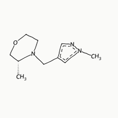 C[C@@H]1COCCN1Cc1cnn(C)c1